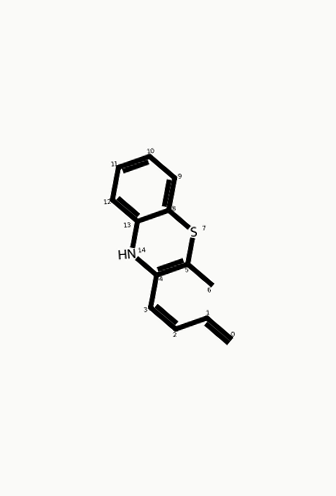 C=C/C=C\C1=C(C)Sc2ccccc2N1